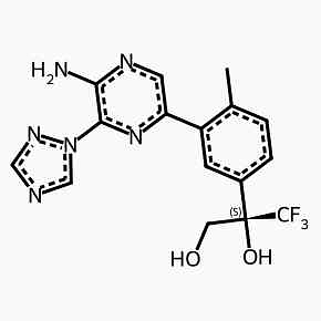 Cc1ccc([C@](O)(CO)C(F)(F)F)cc1-c1cnc(N)c(-n2cncn2)n1